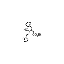 CCOC(=O)CC(CC1CCCO1)C(O)CCC1CCCO1